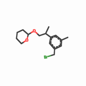 Cc1cc(CBr)cc(C(C)COC2CCCCO2)c1